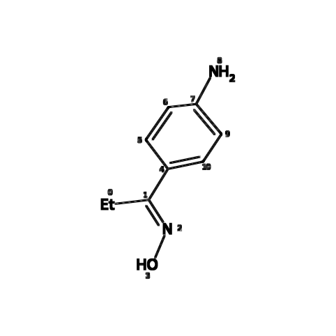 CCC(=NO)c1ccc(N)cc1